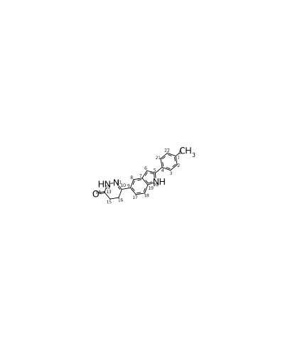 Cc1ccc(-c2cc3cc(C4=NNC(=O)CC4)ccc3[nH]2)cc1